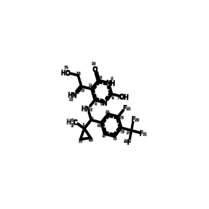 CC1(C(Nc2nc(O)[nH]c(=O)c2C(=N)CO)c2ccc(C(F)(F)F)c(F)c2)CC1